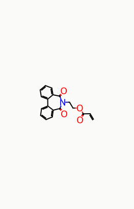 C=CC(=O)OCCn1c(=O)c2ccccc2c2ccccc2c1=O